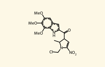 COc1cc2cc(C(=O)C3C=C([N+](=O)[O-])N(CCl)C3C)[nH]c2c(OC)c1OC